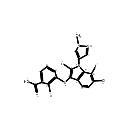 Cn1cc(-n2c(Cl)c(Sc3cccc(C(=O)O)c3F)c3ccc(Cl)c(F)c32)cn1